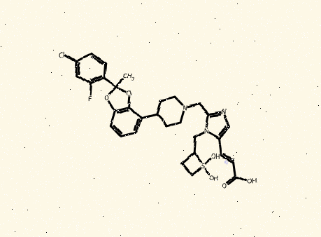 CC1(c2ccc(Cl)cc2F)Oc2cccc(C3CCN(Cc4ncc(/C=C/C(=O)O)n4CC4CCS4(O)O)CC3)c2O1